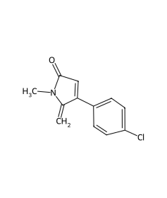 C=C1C(c2ccc(Cl)cc2)=CC(=O)N1C